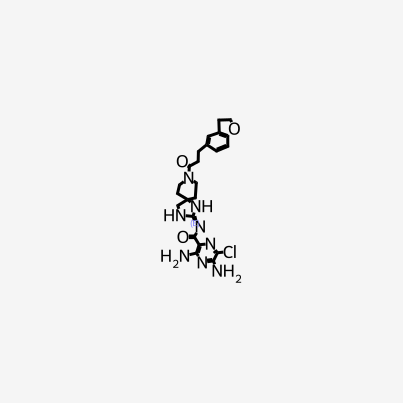 Nc1nc(N)c(C(=O)/N=C2\NCC3(CCN(C(=O)CCc4ccc5c(c4)CCO5)CC3)N2)nc1Cl